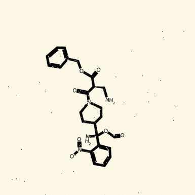 NC[C@H](C(=O)OCc1ccccc1)C(=O)N1CCC(C(N)(OC=O)c2ccccc2[N+](=O)[O-])CC1